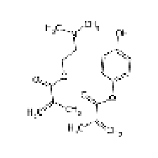 C=C(C)C(=O)OCCN(C)C.C=C(C)C(=O)Oc1ccc(O)cc1